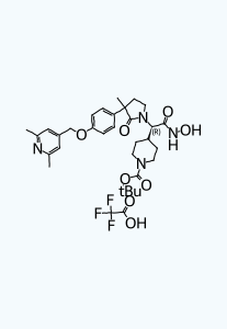 Cc1cc(COc2ccc(C3(C)CCN([C@@H](C(=O)NO)C4CCN(C(=O)OC(C)(C)C)CC4)C3=O)cc2)cc(C)n1.O=C(O)C(F)(F)F